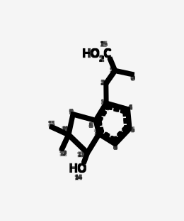 CC(Cc1cccc2c1CC(C)(C)C2O)C(=O)O